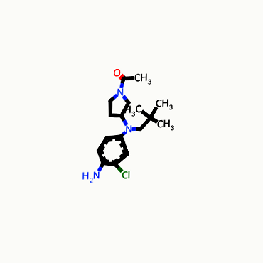 CC(=O)N1CCC(N(CC(C)(C)C)c2ccc(N)c(Cl)c2)C1